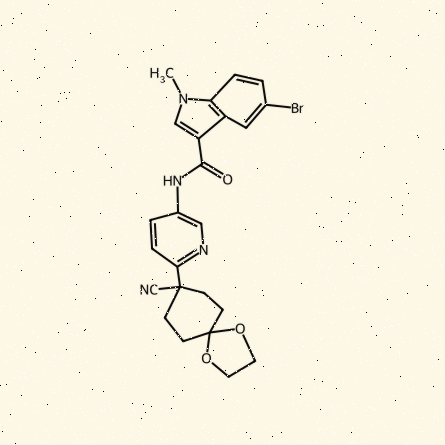 Cn1cc(C(=O)Nc2ccc(C3(C#N)CCC4(CC3)OCCO4)nc2)c2cc(Br)ccc21